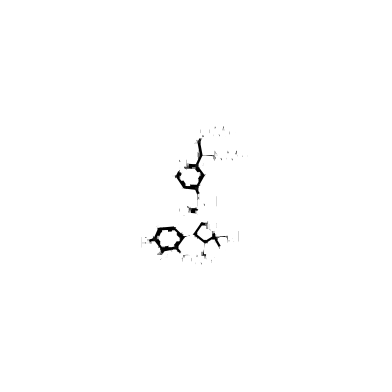 CN[C@H](COC)c1cc(NC(=O)[C@@H]2O[C@@](C)(C(F)(F)F)[C@@H](C)[C@H]2c2ccc(F)c(F)c2OC)ccn1